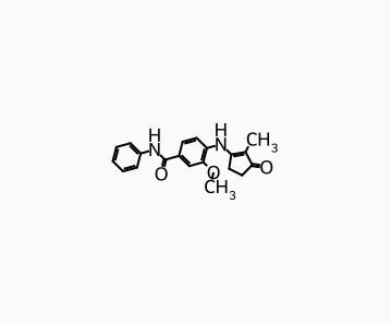 COc1cc(C(=O)Nc2ccccc2)ccc1NC1=C(C)C(=O)CC1